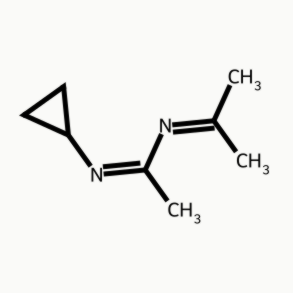 CC(C)=N/C(C)=N\C1CC1